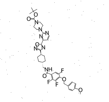 COc1ccc(COc2c(F)cc(C(=O)NC[C@H]3CC[C@H](c4noc(-c5ccnc(N6CCN(C(=O)OC(C)(C)C)CC6)n5)n4)CC3)c(F)c2F)cc1